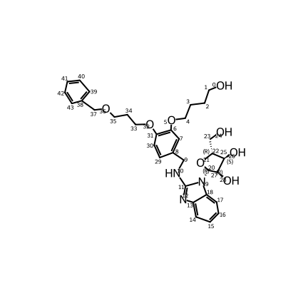 OCCCCOc1cc(CNc2nc3ccccc3n2[C@@H]2O[C@H](CO)[C@@H](O)[C@H]2O)ccc1OCCCOCc1ccccc1